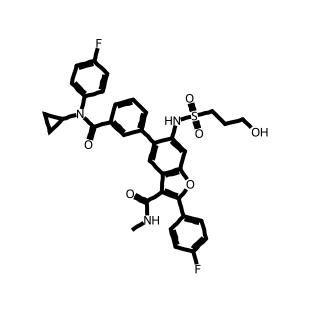 CNC(=O)c1c(-c2ccc(F)cc2)oc2cc(NS(=O)(=O)CCCO)c(-c3cccc(C(=O)N(c4ccc(F)cc4)C4CC4)c3)cc12